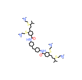 CC(C)C(CCC1CCC(C(=O)NC2CCC(CC3CCC(NC(=O)C4CCC(CCC(SCCN(C)C)C(C)C)C(SCCN(C)C)C4)CC3)CC2)CC1SCCN(C)C)SCCN(C)C